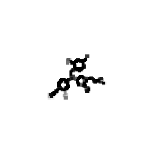 COCCN1C[C@@H](N(Cc2ccc(F)cc2F)c2ccc(C#N)c(Cl)c2)CC1=O